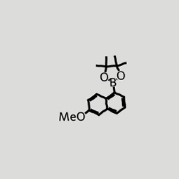 COc1ccc2c(B3OC(C)(C)C(C)(C)O3)cccc2c1